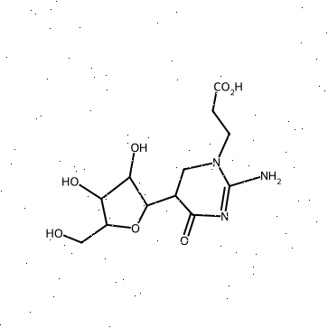 NC1=NC(=O)C(C2OC(CO)C(O)C2O)CN1CCC(=O)O